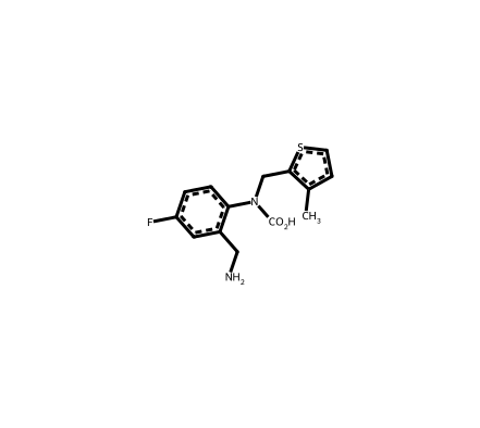 Cc1ccsc1CN(C(=O)O)c1ccc(F)cc1CN